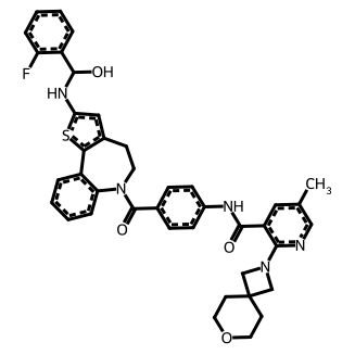 Cc1cnc(N2CC3(CCOCC3)C2)c(C(=O)Nc2ccc(C(=O)N3CCc4cc(NC(O)c5ccccc5F)sc4-c4ccccc43)cc2)c1